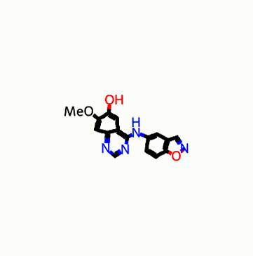 COc1cc2ncnc(Nc3ccc4oncc4c3)c2cc1O